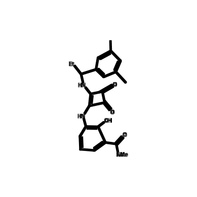 CCC(Nc1c(Nc2cccc(C(=O)NC)c2O)c(=O)c1=O)c1cc(C)cc(C)c1